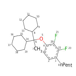 CCCCCc1ccc(OC(C)(C2CCCCC2)C2CCCCC2)c(F)c1F